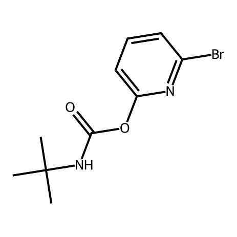 CC(C)(C)NC(=O)Oc1cccc(Br)n1